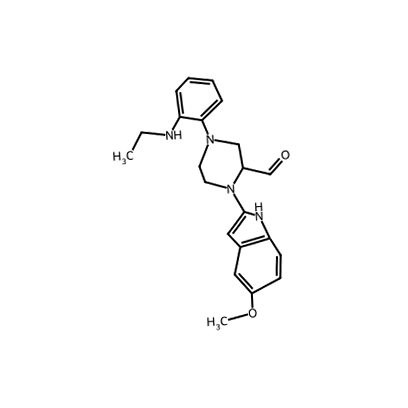 CCNc1ccccc1N1CCN(c2cc3cc(OC)ccc3[nH]2)C(C=O)C1